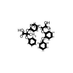 CC(Oc1ccccc1)(Oc1ccccn1)C(=O)O.CC(Oc1ccccc1Oc1ccccc1)C(=O)O